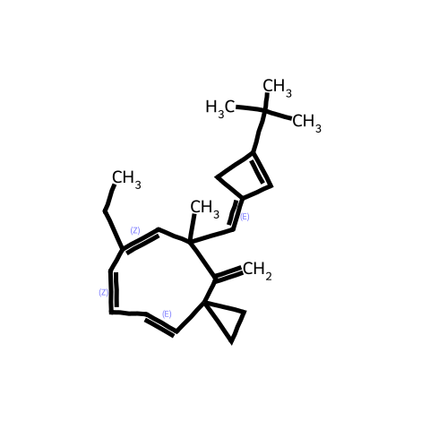 C=C1C(C)(/C=C2/C=C(C(C)(C)C)C2)\C=C(CC)/C=C\C=C\C12CC2